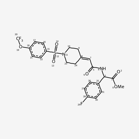 COC(=O)C(NC(=O)C=C1CCN(S(=O)(=O)c2ccc(OC(F)(F)F)cc2)CC1)c1ccc(F)cc1